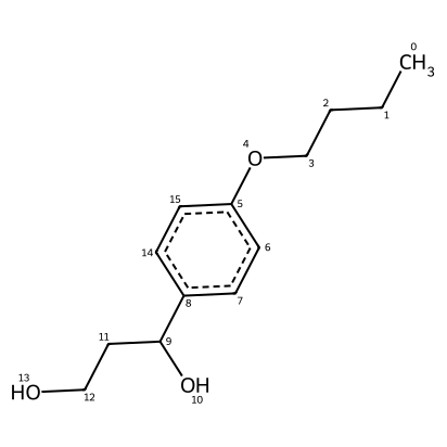 CCCCOc1ccc(C(O)CCO)cc1